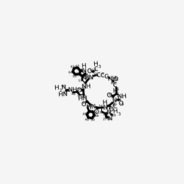 CC(=O)[C@@H]1CCCNC(=O)CC[C@@H]2NC(=O)N(C2=O)[C@H](C)C(=O)N[C@@H](Cc2cnc[nH]2)C(=O)N[C@H](Cc2ccccc2)C(=O)N[C@@H](CCCNC(=N)N)C(=O)N[C@@H](Cc2c[nH]c3ccccc23)C(=O)N1